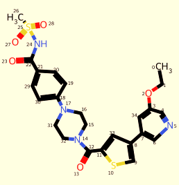 CCOc1cncc(-c2csc(C(=O)N3CCN(c4ccc(C(=O)NS(C)(=O)=O)cc4)CC3)c2)c1